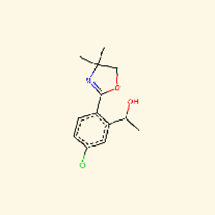 CC(O)c1cc(Cl)ccc1C1=NC(C)(C)CO1